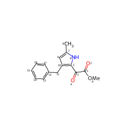 COC(=O)C(=O)c1[nH]c(C)cc1Cc1ccccc1